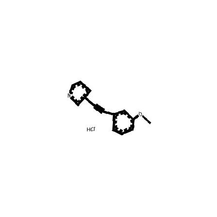 COc1cccc(C#Cc2cccnc2)c1.Cl